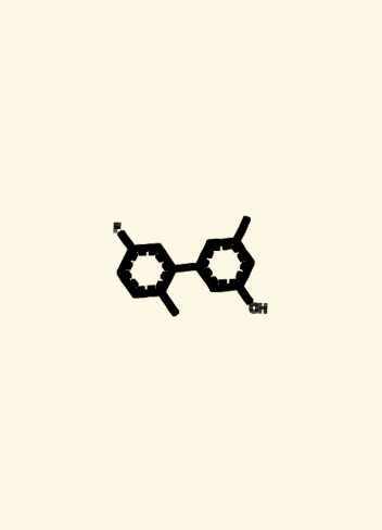 Cc1cc(O)cc(-c2cc(F)ccc2C)c1